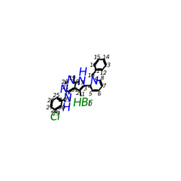 Br.Cc1c(C2C=CC=CN2Cc2ccccc2)[nH]c2ncnc(Nc3cccc(Cl)c3)c12